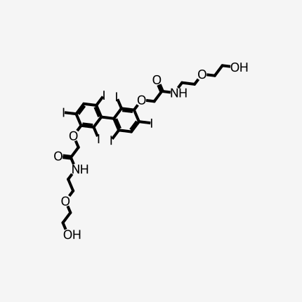 O=C(COc1c(I)cc(I)c(-c2c(I)cc(I)c(OCC(=O)NCCOCCO)c2I)c1I)NCCOCCO